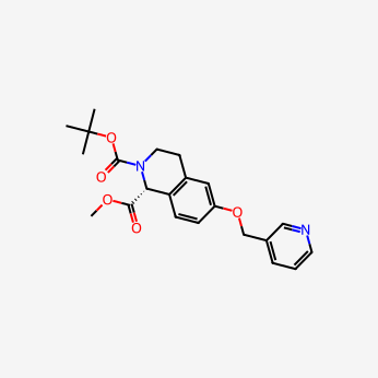 COC(=O)[C@H]1c2ccc(OCc3cccnc3)cc2CCN1C(=O)OC(C)(C)C